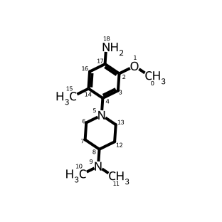 COc1cc(N2CCC(N(C)C)CC2)c(C)cc1N